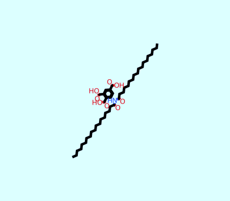 CCCCCCCCCCCCCCCCCC(=O)NC(=O)CCCCCCCCCCCCCCCCC.O=C(O)c1ccc(C(=O)O)c(C(=O)O)c1